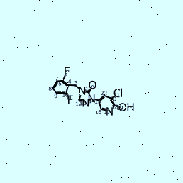 O=c1n(Cc2c(F)cccc2F)cnn1-c1cnc(O)c(Cl)c1